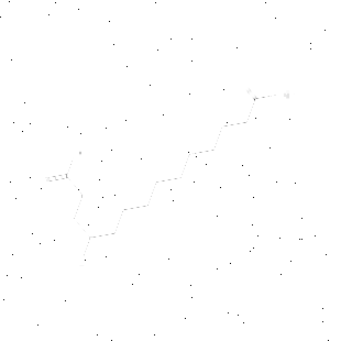 CCC(CCCCCCCCCC(=O)OCC(C)C)CCC(=O)OCC(C)C